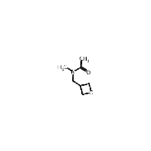 CC(=O)N(C)CC1COC1